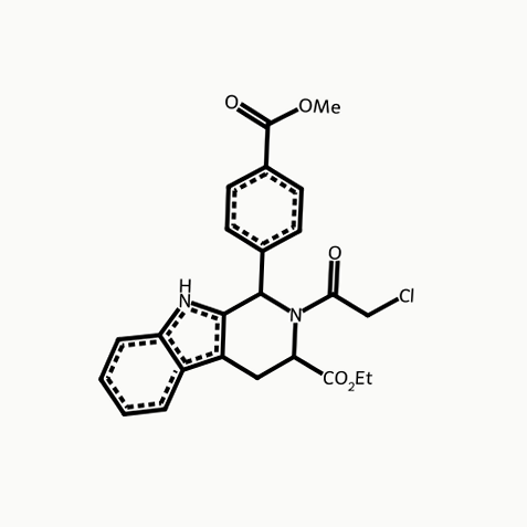 CCOC(=O)C1Cc2c([nH]c3ccccc23)C(c2ccc(C(=O)OC)cc2)N1C(=O)CCl